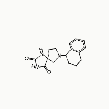 O=C1NC(=O)C2(CCN(C3CCCc4ccccc43)C2)N1